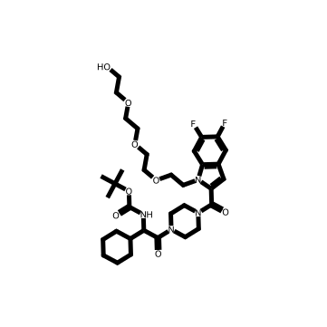 CC(C)(C)OC(=O)NC(C(=O)N1CCN(C(=O)c2cc3cc(F)c(F)cc3n2CCOCCOCCOCCO)CC1)C1CCCCC1